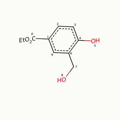 CCOC(=O)c1ccc(O)c(CO)c1